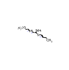 CC/C=C/SC(=N)/C=N/I=C/COC